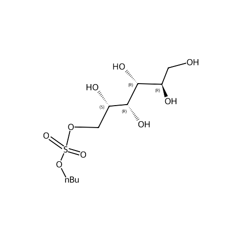 CCCCOS(=O)(=O)OC[C@H](O)[C@@H](O)[C@H](O)[C@H](O)CO